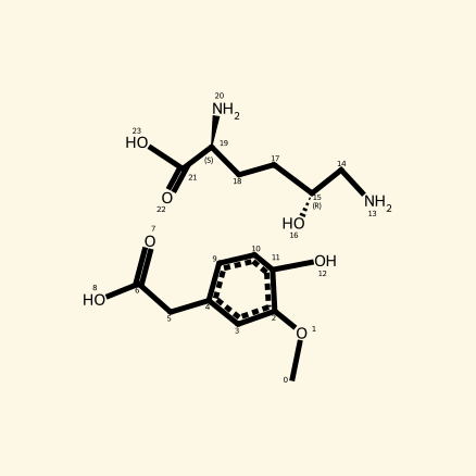 COc1cc(CC(=O)O)ccc1O.NC[C@H](O)CC[C@H](N)C(=O)O